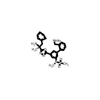 CC(=O)NCc1ccccc1-c1cc(-c2nnc([C@](C)(N)Cc3ccccc3)o2)cc(N(C)S(C)(=O)=O)c1